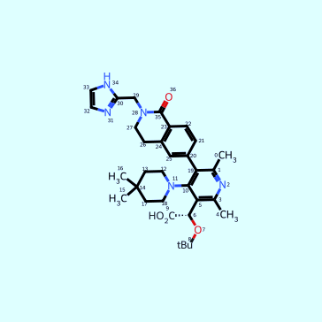 Cc1nc(C)c([C@H](OC(C)(C)C)C(=O)O)c(N2CCC(C)(C)CC2)c1-c1ccc2c(c1)CCN(Cc1ncc[nH]1)C2=O